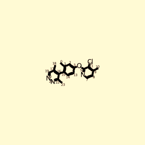 Cc1cc(Oc2nccc(C)c2Cl)ccc1-c1c(C)cnnc1C